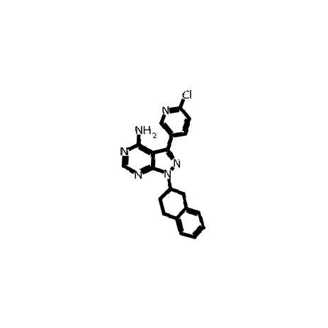 Nc1ncnc2c1c(-c1ccc(Cl)nc1)nn2C1CCc2ccccc2C1